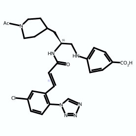 CC(=O)N1CCC(C[C@@H](CNc2ccc(C(=O)O)cc2)NC(=O)/C=C/c2cc(Cl)ccc2-n2cnnn2)CC1